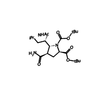 CC(=O)N[C@@H](CC(C)C)[C@H]1[C@H](C(N)=O)C[C@H](C(=O)OC(C)(C)C)N1C(=O)OC(C)(C)C